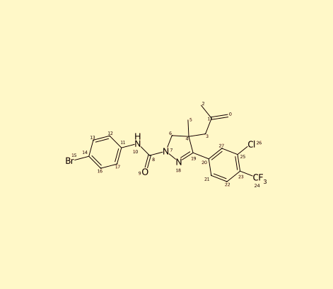 C=C(C)CC1(C)CN(C(=O)Nc2ccc(Br)cc2)N=C1c1ccc(C(F)(F)F)c(Cl)c1